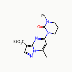 CCOC(=O)c1cnn2c(C)cc(N3CCCN(C(C)C)C3=O)nc12